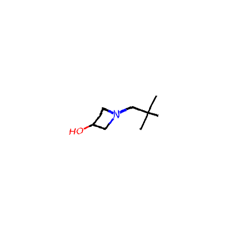 CC(C)(C)CN1CC(O)C1